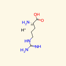 N=C(N)NCCC[C@H](N)C(=O)O.[H+]